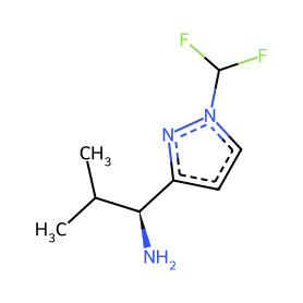 CC(C)[C@H](N)c1ccn(C(F)F)n1